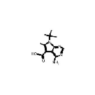 Cc1c(C(=O)O)c2c(N)ncnc2n1C(C)(C)C